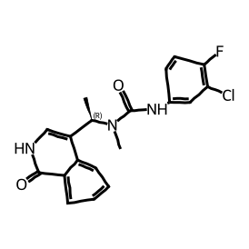 C[C@H](c1c[nH]c(=O)c2ccccc12)N(C)C(=O)Nc1ccc(F)c(Cl)c1